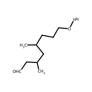 CCCOCCCC(C)CC(C)CC=O